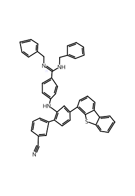 N#Cc1cccc(-c2ccc(-c3cccc4c3sc3ccccc34)cc2Nc2ccc(/C(=N/Cc3ccccc3)NCc3ccccc3)cc2)c1